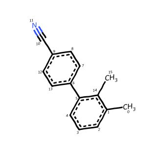 Cc1cccc(-c2ccc(C#N)cc2)c1C